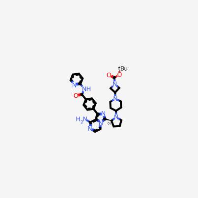 CC(C)(C)OC(=O)N1CC(N2CCC(N3CCC[C@H]3c3nc(-c4ccc(C(=O)Nc5ccccn5)cc4)c4c(N)nccn34)CC2)C1